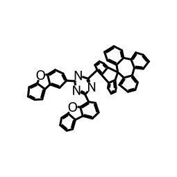 c1ccc2c(c1)-c1ccccc1C1(c3ccccc3-2)c2ccccc2-c2c(-c3nc(-c4ccc5oc6ccccc6c5c4)nc(-c4cccc5c4oc4ccccc45)n3)cccc21